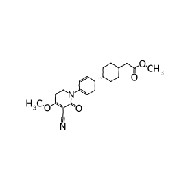 COC(=O)CC1CCC([C@H]2C=CC(N3CCC(OC)=C(C#N)C3=O)=CC2)CC1